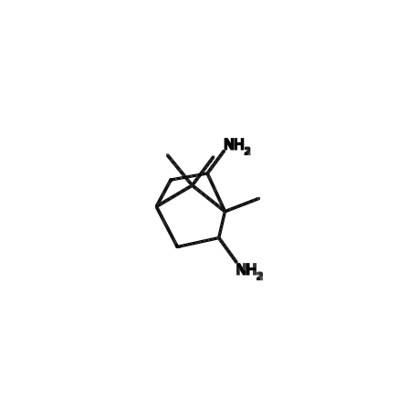 CC1(C)C2CC(N)C1(C)C(N)C2